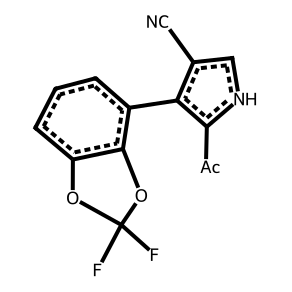 CC(=O)c1[nH]cc(C#N)c1-c1cccc2c1OC(F)(F)O2